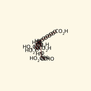 O=CCNC(=O)N[C@@H](CCCCNC(=O)CCCCCCCCCCN1CCN(c2nc(NCCOCCOCCOCCOCCOCCOCCOCCOCCC(=O)O)nc(Nc3ccc(CC4CN(CC(=O)O)CCN(CC(=O)O)CCN(CC(=O)O)CCN4CC(=O)O)cc3)n2)CC1)C(=O)O